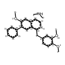 CNC.COc1ccc(Cc2nccc3cc(OC)c(-c4ccccc4)cc23)cc1OC